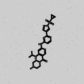 CC(C)Nc1cc(Nc2ccnc(-c3cnn(S(=O)(=O)C4CC4)c3)n2)ncc1C(=O)N1CCN(C)CC1